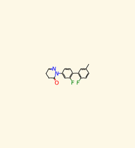 Cc1ccc(F)c(-c2ccc(N3N=CCCC3=O)cc2F)c1